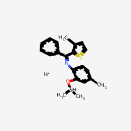 Cc1ccc(N=C(c2ccccc2)c2sccc2C)c(O[SiH](C)C)c1.[H+]